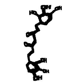 O=C(/C=C/c1ccc(O)c(O)c1O)CC(=O)/C=C/c1ccc(O)c(O)c1O